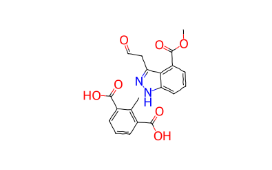 COC(=O)c1cccc2[nH]nc(CC=O)c12.Cc1c(C(=O)O)cccc1C(=O)O